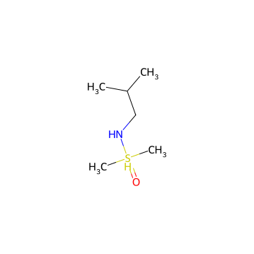 CC(C)CN[SH](C)(C)=O